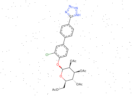 CC(=O)OC[C@H]1O[C@@H](Oc2ccc(-c3ccc(-c4nnn[nH]4)cc3)cc2Cl)[C@@H](OC(C)=O)[C@@H](OC(C)=O)[C@@H]1OC(C)=O